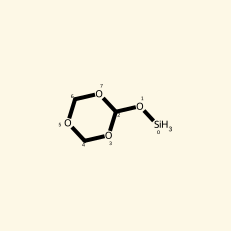 [SiH3]OC1OCOCO1